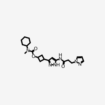 CN(C(=O)OC1CC(c2cc(NC(=O)CCn3cccn3)[nH]n2)C1)C1CCCCC1